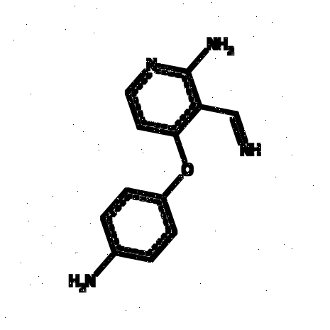 N=Cc1c(Oc2ccc(N)cc2)ccnc1N